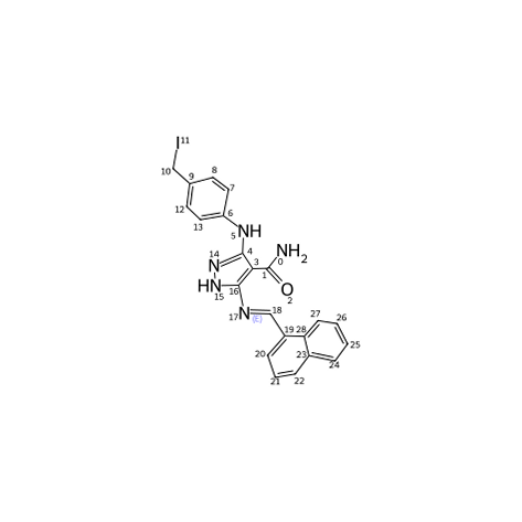 NC(=O)c1c(Nc2ccc(CI)cc2)n[nH]c1/N=C/c1cccc2ccccc12